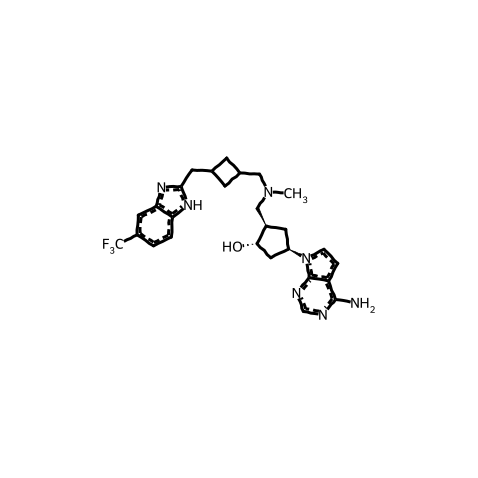 CN(CC1CC(Cc2nc3cc(C(F)(F)F)ccc3[nH]2)C1)C[C@H]1C[C@@H](n2ccc3c(N)ncnc32)C[C@@H]1O